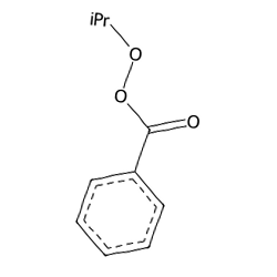 CC(C)OOC(=O)c1ccccc1